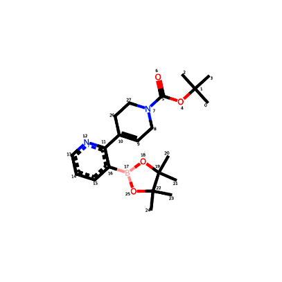 CC(C)(C)OC(=O)N1CC=C(c2ncccc2B2OC(C)(C)C(C)(C)O2)CC1